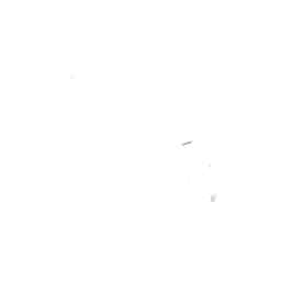 CCCCCCCCCCCCCCCCCC(=O)OC(C)(C)OC(=O)C(C)C